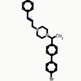 CC(c1ccc(-c2ccc(Br)cc2)cc1)N1CCN(C/C=C/c2ccccc2)CC1